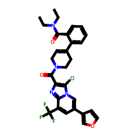 CCN(CC)C(=O)c1ccccc1C1=CCN(C(=O)c2nc3c(C(F)(F)F)cc(-c4ccoc4)cn3c2Cl)CC1